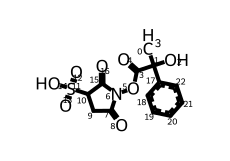 CC(O)(C(=O)ON1C(=O)CC(S(=O)(=O)O)C1=O)c1ccccc1